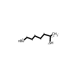 [CH2]C(S)CCCCCCCCC